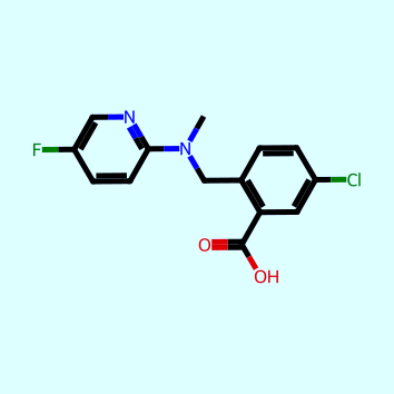 CN(Cc1ccc(Cl)cc1C(=O)O)c1ccc(F)cn1